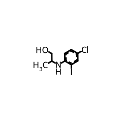 CC(CO)Nc1ccc(Cl)cc1I